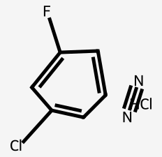 Cl.Fc1cccc(Cl)c1.N#N